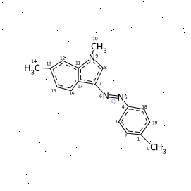 Cc1ccc(/N=N/c2cn(C)c3cc(C)ccc23)cc1